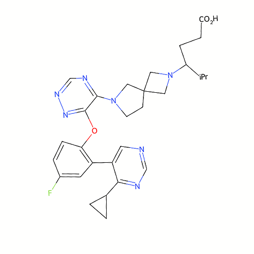 CC(C)C(CCC(=O)O)N1CC2(CCN(c3ncnnc3Oc3ccc(F)cc3-c3cncnc3C3CC3)C2)C1